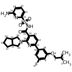 CC(C)COc1cc(F)cc(-c2ccc(C(=O)NS(=O)(=O)c3cccc(N)n3)c(N3CC4CCCC4C3)n2)c1